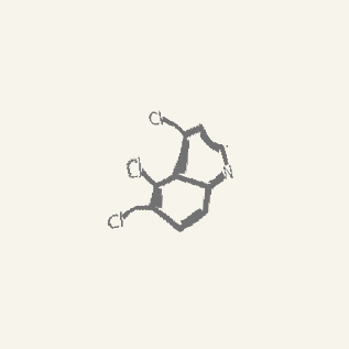 Clc1ccc2n[c]cc(Cl)c2c1Cl